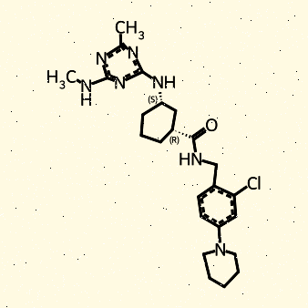 CNc1nc(C)nc(N[C@H]2CCC[C@@H](C(=O)NCc3ccc(N4CCCCC4)cc3Cl)C2)n1